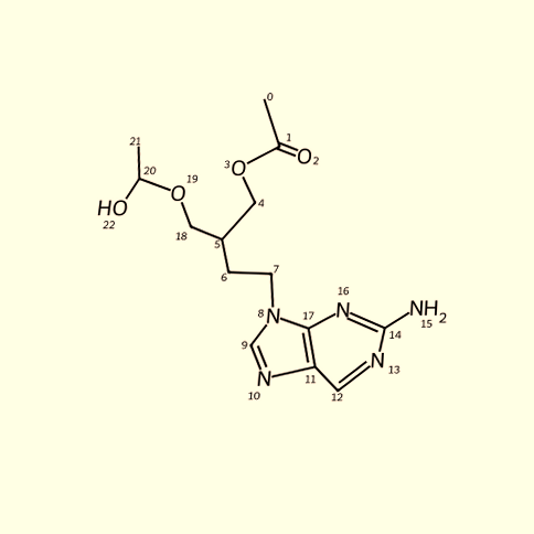 CC(=O)OCC(CCn1cnc2cnc(N)nc21)COC(C)O